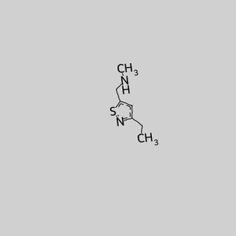 CCc1cc(CNC)sn1